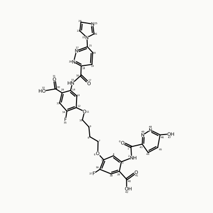 O=C(Nc1cc(OCCCCOc2cc(NC(=O)c3ccc(-n4ccnc4)nn3)c(C(=O)O)cc2F)c(F)cc1C(=O)O)c1ccc(O)nn1